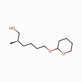 C[C@@H](CO)CCCCOC1CCCCO1